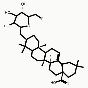 CC1(C)CC[C@]2(C(=O)O)CC[C@]3(C)C(=CCC4[C@@]5(C)CCC(C[C@@H]6OC(CF)[C@@H](O)C(O)C6O)C(C)(C)C5CC[C@]43C)C2C1